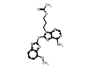 COc1cccc2nc(Sc3nc4c(N)ncnc4n3CCCOC(C)=O)sc12